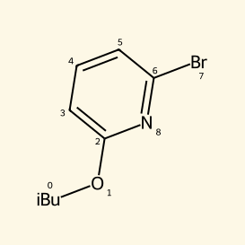 [CH2]C(CC)Oc1cccc(Br)n1